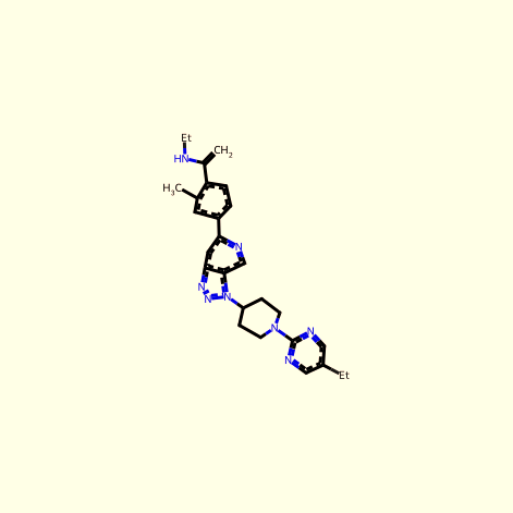 C=C(NCC)c1ccc(-c2cc3nnn(C4CCN(c5ncc(CC)cn5)CC4)c3cn2)cc1C